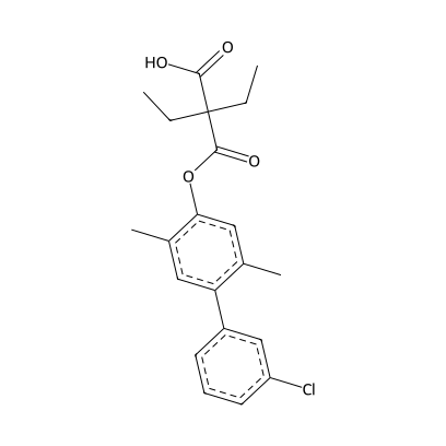 CCC(CC)(C(=O)O)C(=O)Oc1cc(C)c(-c2cccc(Cl)c2)cc1C